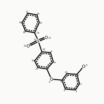 [O]c1cccc(Oc2ccc(S(=O)(=O)c3cc[c]cc3)cc2)c1